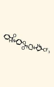 O=C(Nc1ccc(OC(=O)N2CCN(c3ccc(C(F)(F)F)cn3)CC2)cc1)c1ccccc1